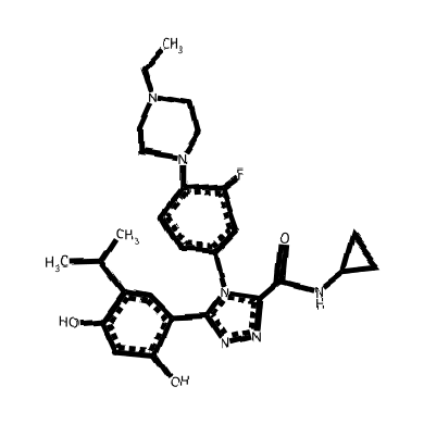 CCN1CCN(c2ccc(-n3c(C(=O)NC4CC4)nnc3-c3cc(C(C)C)c(O)cc3O)cc2F)CC1